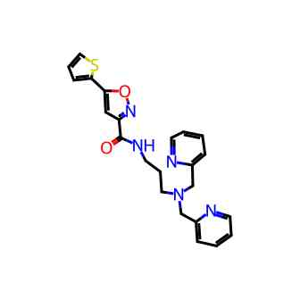 O=C(NCCCN(Cc1ccccn1)Cc1ccccn1)c1cc(-c2cccs2)on1